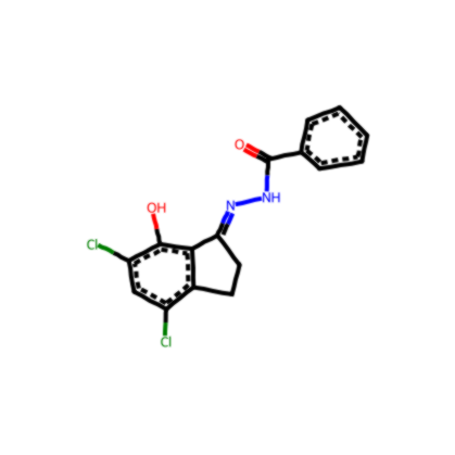 O=C(N/N=C1\CCc2c(Cl)cc(Cl)c(O)c21)c1ccccc1